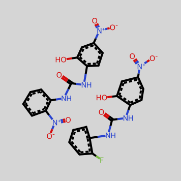 O=C(Nc1ccc([N+](=O)[O-])cc1O)Nc1ccccc1F.O=C(Nc1ccc([N+](=O)[O-])cc1O)Nc1ccccc1[N+](=O)[O-]